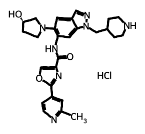 Cc1cc(-c2nc(C(=O)Nc3cc4c(cnn4CC4CCNCC4)cc3N3CC[C@H](O)C3)co2)ccn1.Cl